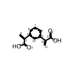 C=C(C(=O)O)c1cccc(C(=C)C(=O)O)c1